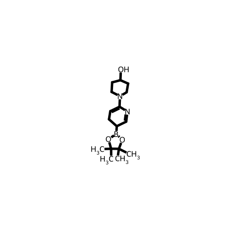 CC1(C)OB(C2C=NC(N3CCC(O)CC3)=CC2)OC1(C)C